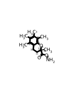 Cc1c(C)c(C)c2c(c1C)CC[C@@](C)(C(=O)ON)O2